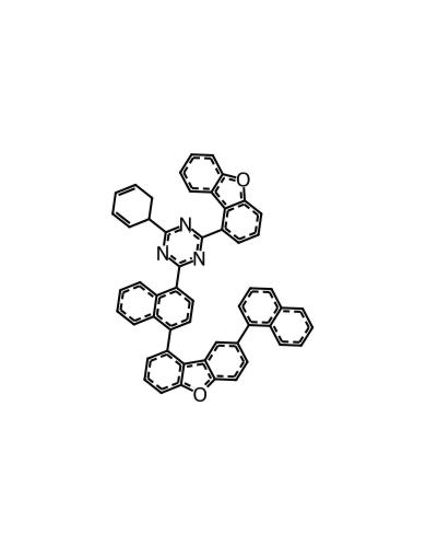 C1=CCC(c2nc(-c3ccc(-c4cccc5oc6ccc(-c7cccc8ccccc78)cc6c45)c4ccccc34)nc(-c3cccc4oc5ccccc5c34)n2)C=C1